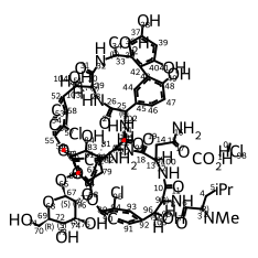 CC(=O)O.CN[C@H](CC(C)C)C(=O)N[C@H]1C(=O)N[C@@H](CC(N)=O)C(=O)N[C@H]2C(=O)N[C@H]3C(=O)N[C@H](C(=O)N[C@@H](C(=O)O)c4cc(O)cc(O)c4-c4cc3ccc4O)[C@H](O)c3ccc(c(Cl)c3)Oc3cc2cc(c3O[C@@H]2O[C@H](CO)[C@@H](O)[C@H](O)[C@H]2O[C@H]2C[C@](C)(N)C(O)[C@H](C)O2)Oc2ccc(cc2Cl)[C@H]1O.Cl